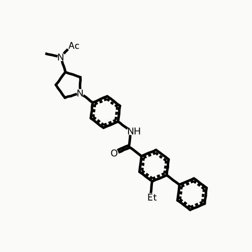 CCc1cc(C(=O)Nc2ccc(N3CCC(N(C)C(C)=O)C3)cc2)ccc1-c1ccccc1